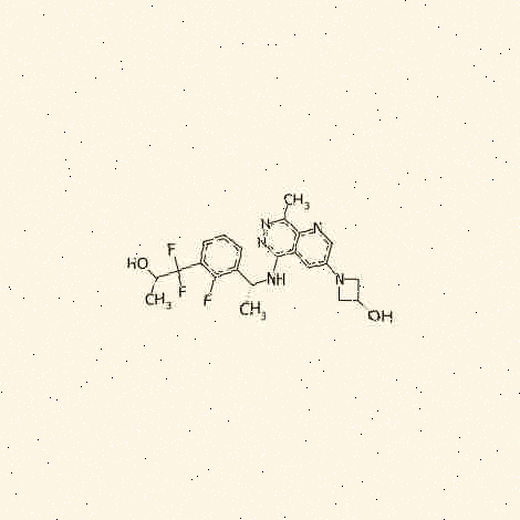 Cc1nnc(N[C@H](C)c2cccc(C(F)(F)C(C)O)c2F)c2cc(N3CC(O)C3)cnc12